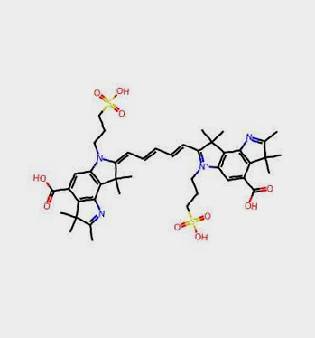 CC1=Nc2c(c(C(=O)O)cc3c2C(C)(C)C(/C=C/C=C/C=C2/N(CCCS(=O)(=O)O)c4cc(C(=O)O)c5c(c4C2(C)C)N=C(C)C5(C)C)=[N+]3CCCS(=O)(=O)O)C1(C)C